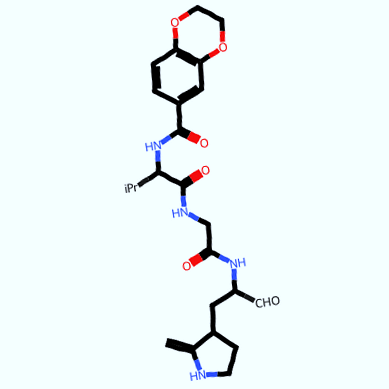 C=C1NCCC1CC(C=O)NC(=O)CNC(=O)C(NC(=O)c1ccc2c(c1)OCCO2)C(C)C